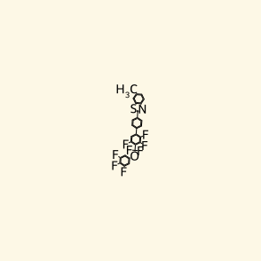 Cc1ccc2nc(-c3ccc(-c4cc(F)c(C(F)(F)Oc5cc(F)c(F)c(F)c5)c(F)c4F)cc3)sc2c1